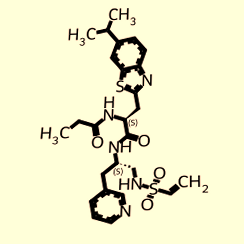 C=CS(=O)(=O)NC[C@H](Cc1cccnc1)NC(=O)[C@H](Cc1nc2ccc(C(C)C)cc2s1)NC(=O)CC